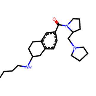 CCCCNC1CCc2cc(C(=O)N3CCCC3CN3CCCC3)ccc2C1